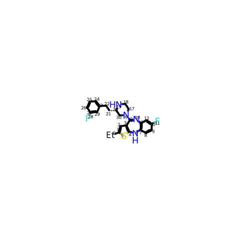 CCc1cc2c(s1)Nc1ccc(F)cc1N=C2N1CCN[C@@H](CCc2cccc(F)c2)C1